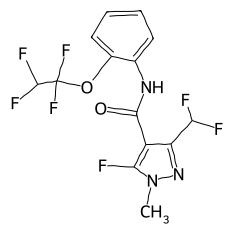 Cn1nc(C(F)F)c(C(=O)Nc2ccccc2OC(F)(F)C(F)F)c1F